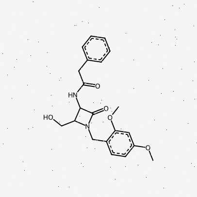 COc1ccc(CN2C(=O)C(NC(=O)Cc3ccccc3)C2CO)c(OC)c1